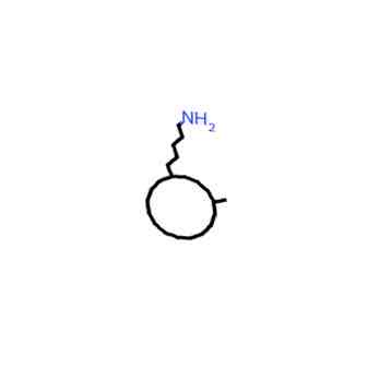 CC1CCCCCCCCCCCC(CCCCCN)CCC1